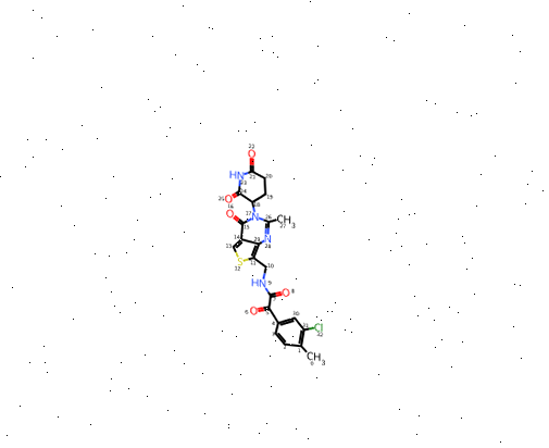 Cc1ccc(C(=O)C(=O)NCc2scc3c(=O)n(C4CCC(=O)NC4=O)c(C)nc23)cc1Cl